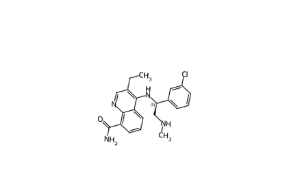 CCc1cnc2c(C(N)=O)cccc2c1N[C@H](CNC)c1cccc(Cl)c1